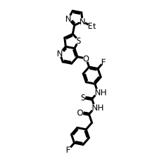 CCn1ccnc1-c1cc2nccc(Oc3ccc(NC(=S)NC(=O)Cc4ccc(F)cc4)cc3F)c2s1